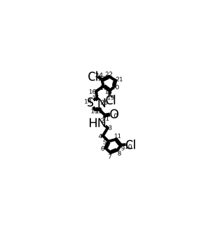 O=C(NCCc1cccc(Cl)c1)c1csc(Cc2c(Cl)cccc2Cl)n1